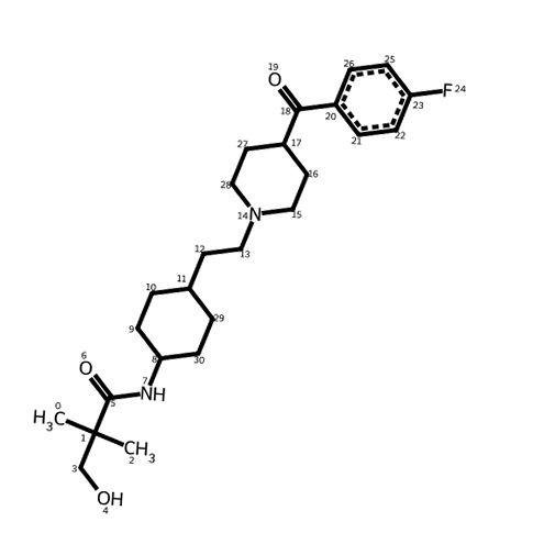 CC(C)(CO)C(=O)NC1CCC(CCN2CCC(C(=O)c3ccc(F)cc3)CC2)CC1